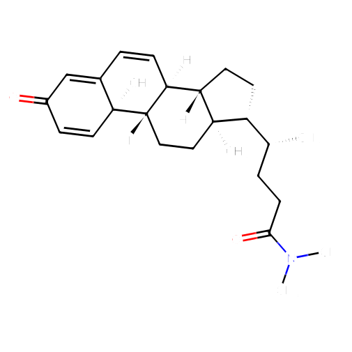 C[C@H](CCC(=O)N(C)C)[C@H]1CC[C@H]2[C@@H]3C=CC4=CC(=O)C=C[C@]4(C)[C@H]3CC[C@]12C